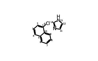 Clc1cccc2ccccc12.c1c[nH]cn1